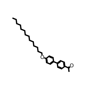 CCCCCCCCCCCCCCOc1ccc(-c2ccc(C(C)=O)cc2)cc1